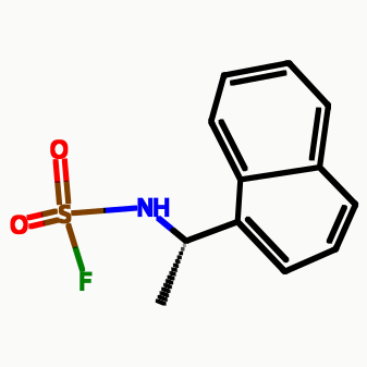 C[C@H](NS(=O)(=O)F)c1cccc2ccccc12